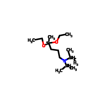 CCO[Si](C)(CCCN([SiH](C)C)[SiH](C)C)OCC